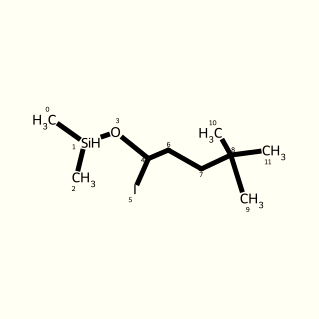 C[SiH](C)OC(I)CCC(C)(C)C